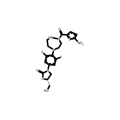 O=C(c1ccc([N+](=O)[O-])s1)N1CCN(c2c(F)cc(N3C[C@H](CO)OC3=O)cc2F)CCN1